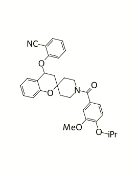 COc1cc(C(=O)N2CCC3(CC2)CC(Oc2ccccc2C#N)c2ccccc2O3)ccc1OC(C)C